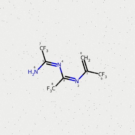 C=C(/N=C(\N=C(/N)C(F)(F)F)C(F)(F)F)C(F)(F)F